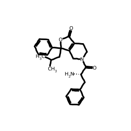 CC(C)CC1(c2ccccc2)OC(=O)C2=C1CN(C(=O)[C@@H](N)Cc1ccccc1)CC2